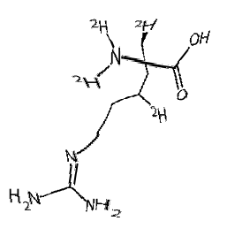 [2H]C(CCN=C(N)N)[C@@]([2H])(C(=O)O)N([2H])[2H]